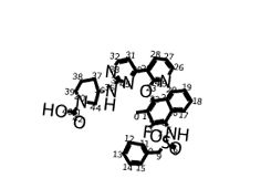 Cc1c(F)c(NS(=O)(=O)Cc2ccccc2)c2ccccc2c1Oc1ncccc1-c1ccnc(N[C@H]2CCCN(C(=O)O)C2)n1